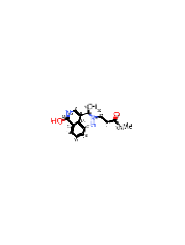 CNC(=O)CCNC(C)c1cnc(O)c2ccccc12